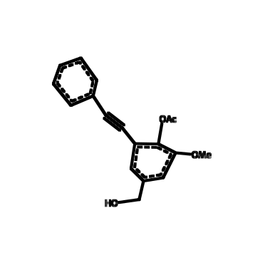 COc1cc(CO)cc(C#Cc2ccccc2)c1OC(C)=O